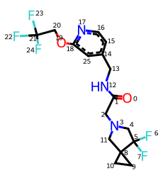 O=C(CN1CC(F)(F)C2(CC2)C1)NCc1ccnc(OCC(F)(F)F)c1